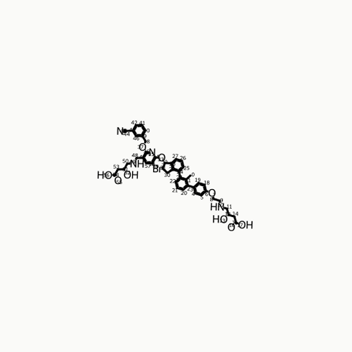 Cc1c(-c2ccc(OCCNC[C@@H](O)CC(=O)O)cc2)cccc1-c1cccc2c1CC[C@@H]2Oc1nc(OCc2cccc(C#N)c2)c(CNC[C@@H](O)CC(=O)O)cc1Br